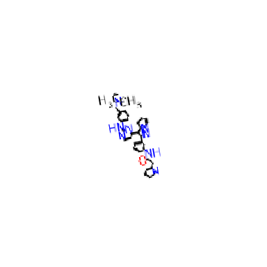 CN(C)Cc1cccc(Nc2nccc(-c3c(-c4cccc(NC(=O)Cc5ccccn5)c4)nn4ccccc34)n2)c1